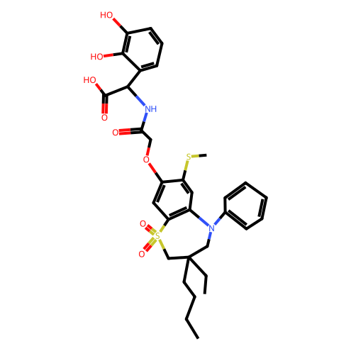 CCCCC1(CC)CN(c2ccccc2)c2cc(SC)c(OCC(=O)NC(C(=O)O)c3cccc(O)c3O)cc2S(=O)(=O)C1